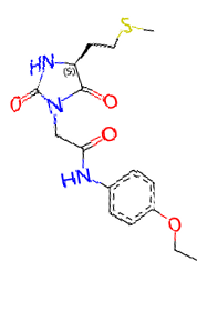 CCOc1ccc(NC(=O)CN2C(=O)N[C@@H](CCSC)C2=O)cc1